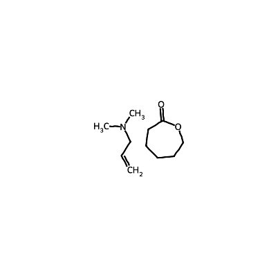 C=CCN(C)C.O=C1CCCCCO1